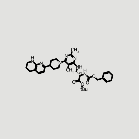 Cc1nc(NC[C@H](NC(=O)OCC2=CCCC=C2)C(=O)OC(C)(C)C)c(C)c(N2CCC(c3ccc4c(n3)NCCC4)CC2)n1